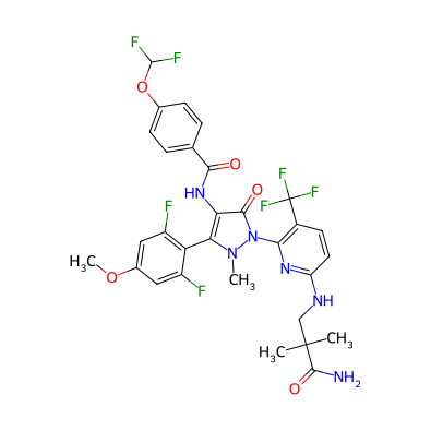 COc1cc(F)c(-c2c(NC(=O)c3ccc(OC(F)F)cc3)c(=O)n(-c3nc(NCC(C)(C)C(N)=O)ccc3C(F)(F)F)n2C)c(F)c1